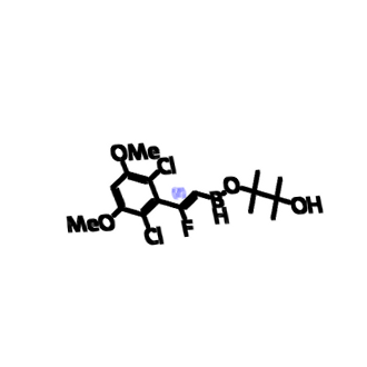 COc1cc(OC)c(Cl)c(/C(F)=C/BOC(C)(C)C(C)(C)O)c1Cl